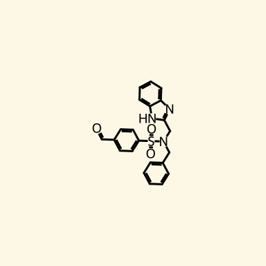 O=Cc1ccc(S(=O)(=O)N(Cc2ccccc2)Cc2nc3ccccc3[nH]2)cc1